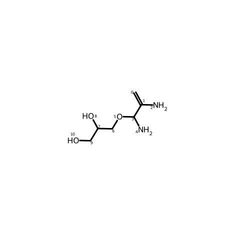 C=C(N)C(N)OCC(O)CO